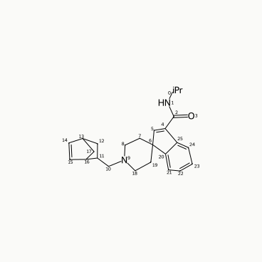 CC(C)NC(=O)C1=CC2(CCN(CC3CC4C=CC3C4)CC2)c2ccccc21